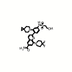 NC(=O)c1cc(N2CCC(F)(F)CC2)c2nc(-c3ccc(NS(=O)(=O)CCO)cc3N3CCC4(CC3)CC4)ccc2c1